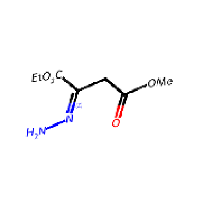 CCOC(=O)/C(CC(=O)OC)=N\N